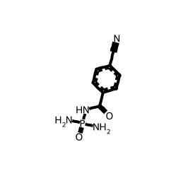 N#Cc1ccc(C(=O)NP(N)(N)=O)cc1